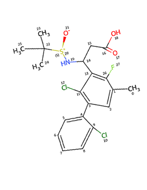 Cc1cc(-c2ccccc2Cl)c(Cl)c(C(CC(=O)O)N[S@+]([O-])C(C)(C)C)c1F